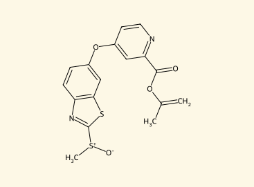 C=C(C)OC(=O)c1cc(Oc2ccc3nc([S+](C)[O-])sc3c2)ccn1